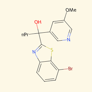 CCCC(O)(c1cncc(OC)c1)c1nc2cccc(Br)c2s1